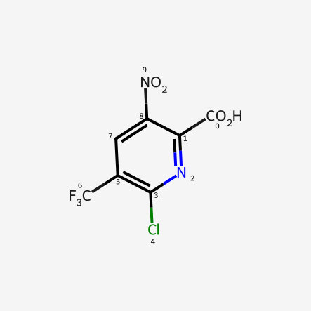 O=C(O)c1nc(Cl)c(C(F)(F)F)cc1[N+](=O)[O-]